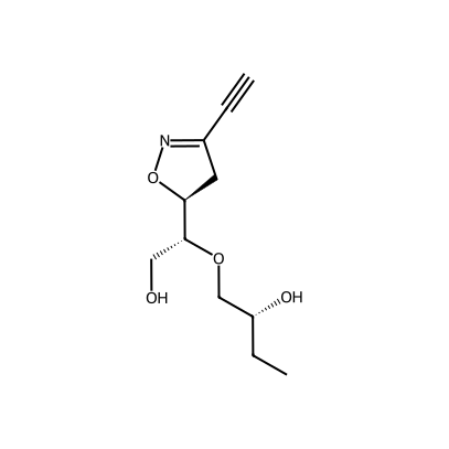 C#CC1=NO[C@H]([C@@H](CO)OC[C@H](O)CC)C1